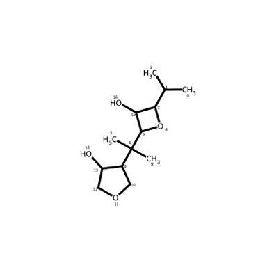 CC(C)C1OC(C(C)(C)C2COCC2O)C1O